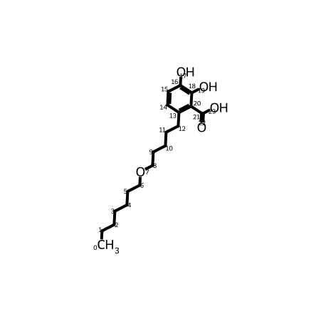 CCCCCCCOCCCCCc1ccc(O)c(O)c1C(=O)O